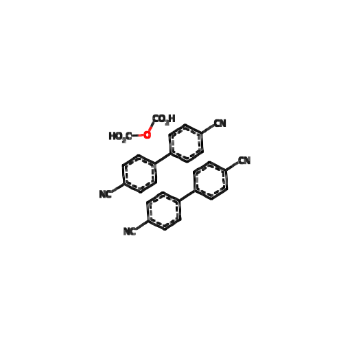 N#Cc1ccc(-c2ccc(C#N)cc2)cc1.N#Cc1ccc(-c2ccc(C#N)cc2)cc1.O=C(O)OC(=O)O